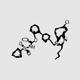 CCCCc1nc2cc(Cl)ccc2n1Cc1ccc(-c2ccccc2OC(=O)NS(=O)(=O)c2ccccc2)cc1